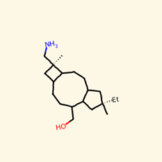 CC[C@@]1(C)CC2CCC3C(CCC(CO)C2C1)C[C@@]3(C)CN